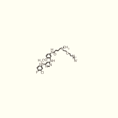 COc1ccc(NC(=O)/C=C/CN(C)CCOCCN=[N+]=[N-])cc1Nc1cc(Nc2ccc(F)c(Cl)c2)ncn1